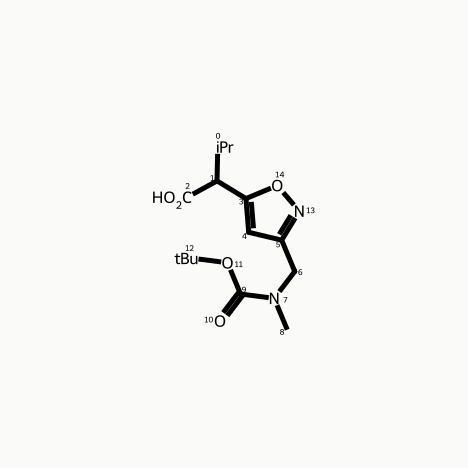 CC(C)C(C(=O)O)c1cc(CN(C)C(=O)OC(C)(C)C)no1